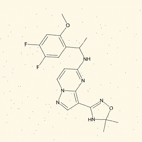 COc1cc(F)c(F)cc1C(C)Nc1ccn2ncc(C3=NOC(C)(C)N3)c2n1